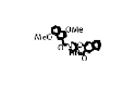 COc1cc(C(=O)N2CCC3(CC2)NC(=O)c2cc4ccccc4cc2O3)cc2c(OC)cccc12